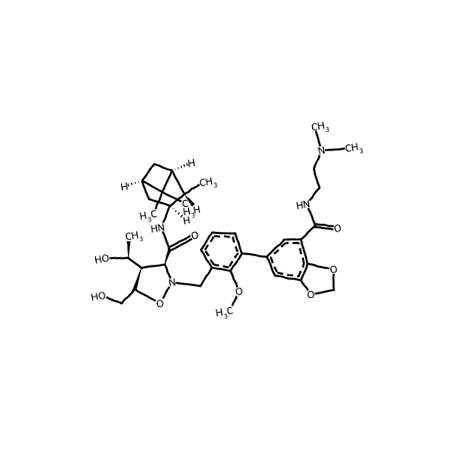 COc1c(CN2OC(CO)[C@@H]([C@H](C)O)[C@H]2C(=O)N[C@H]2C[C@H]3C[C@@H]([C@@H]2C)C3(C)C)cccc1-c1cc2c(c(C(=O)NCCN(C)C)c1)OCO2